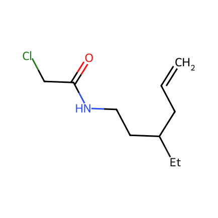 C=CCC(CC)CCNC(=O)CCl